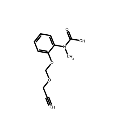 C#CCOCOc1ccccc1N(C)C(=O)O